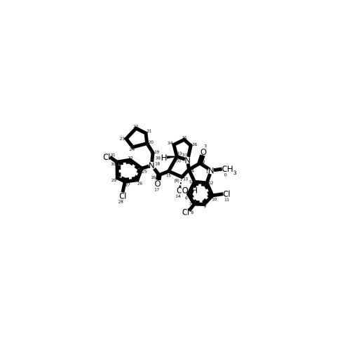 CN1C(=O)C2(c3cc(Cl)cc(Cl)c31)[C@H](C(=O)O)C(C(=O)N(CC1CCCC1)c1cc(Cl)cc(Cl)c1)[C@@H]1CCCN12